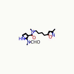 Cc1cc(CCCCN(C)C(=O)c2cc[nH]c2N(C)C=O)on1